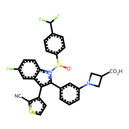 N#Cc1sccc1-c1c(-c2cccc(N3CC(C(=O)O)C3)c2)n([S+]([O-])c2ccc(C(F)F)cc2)c2ccc(F)cc12